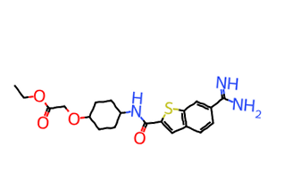 CCOC(=O)COC1CCC(NC(=O)c2cc3ccc(C(=N)N)cc3s2)CC1